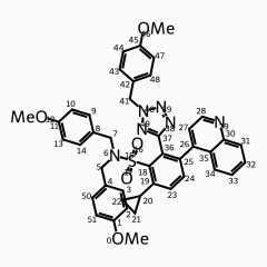 COc1ccc(CN(Cc2ccc(OC)cc2)S(=O)(=O)c2c(C3CC3)ccc(-c3ccnc4ccccc34)c2-c2nnn(Cc3ccc(OC)cc3)n2)cc1